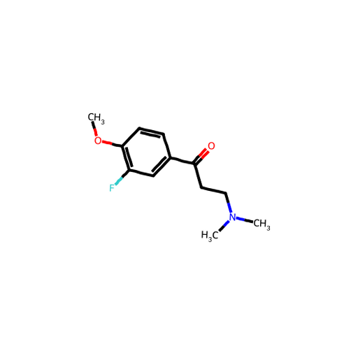 COc1ccc(C(=O)CCN(C)C)cc1F